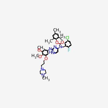 COc1cc(Nc2nccc(N(Cc3cc(Cl)ccc3F)C(=O)Oc3c(C)cc(C)cc3C)n2)cc(OCCCN2CCN(C)CC2)c1OC